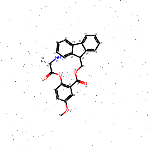 COc1ccc(OC(=O)[C@H](C)N)c(C(=O)OCC2c3ccccc3-c3ccccc32)c1